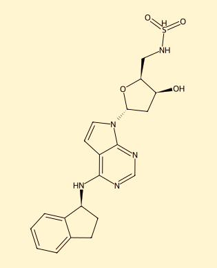 O=[SH](=O)NC[C@@H]1O[C@@H](n2ccc3c(N[C@H]4CCc5ccccc54)ncnc32)C[C@@H]1O